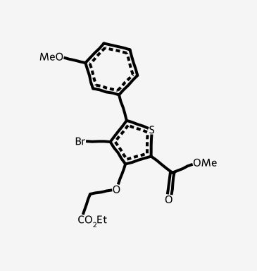 CCOC(=O)COc1c(C(=O)OC)sc(-c2cccc(OC)c2)c1Br